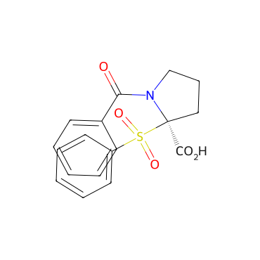 O=C(c1ccccc1)N1CCC[C@@]1(C(=O)O)S(=O)(=O)c1ccccc1